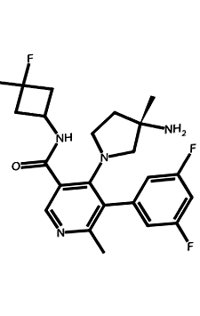 Cc1ncc(C(=O)NC2CC(F)(F)C2)c(N2CC[C@](C)(N)C2)c1-c1cc(F)cc(F)c1